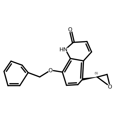 O=c1ccc2c([C@H]3CO3)ccc(OCc3ccccc3)c2[nH]1